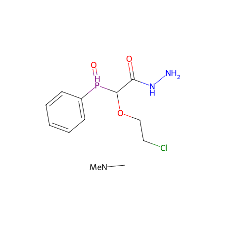 CNC.NNC(=O)C(OCCCl)[PH](=O)c1ccccc1